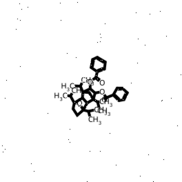 CC(C)C12CCC(C(C)C)(O1)C1C2C2(C(C)C)CC1(C(C)C)C(OC(=O)c1ccccc1)C2OC(=O)c1ccccc1